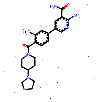 Cc1cc(-c2cnc(N)c(C(N)=O)c2)ccc1C(=O)N1CCC(N2CCCC2)CC1